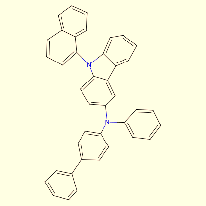 c1ccc(-c2ccc(N(c3ccccc3)c3ccc4c(c3)c3ccccc3n4-c3cccc4ccccc34)cc2)cc1